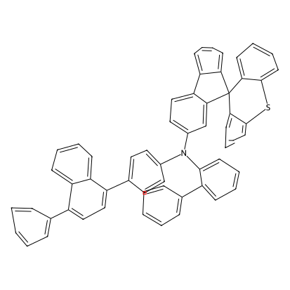 c1ccc(-c2ccccc2N(c2ccc(-c3ccc(-c4ccccc4)c4ccccc34)cc2)c2ccc3c(c2)C2(c4ccccc4Sc4ccccc42)c2ccccc2-3)cc1